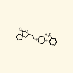 Cc1ccccc1N1CCN(CCC2CC3(CCCC3)C(=O)O2)CC1